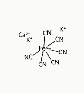 N#[C][Fe-4]([C]#N)([C]#N)([C]#N)([C]#N)[C]#N.[Ca+2].[K+].[K+]